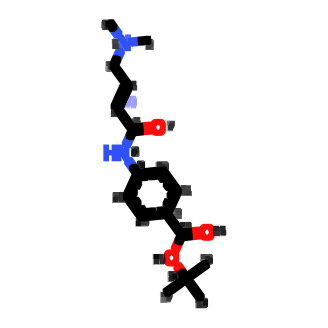 CN(C)C/C=C/C(=O)Nc1ccc(C(=O)OC(C)(C)C)cc1